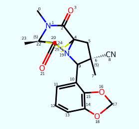 CN1C(=O)C23C[C@](C)(C#N)C(c4cccc5c4OCO5)N2C(=O)[C@]1(C)SS3